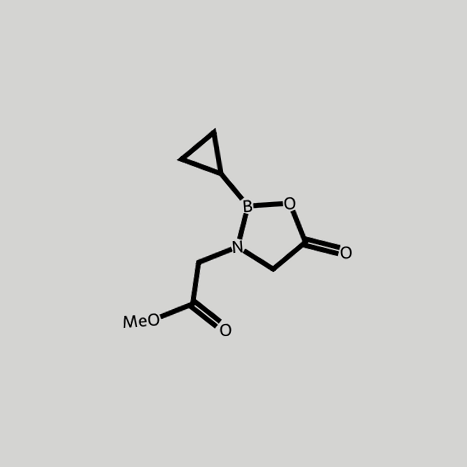 COC(=O)CN1CC(=O)OB1C1CC1